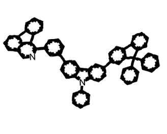 c1ccc(-n2c3ccc(-c4cccc(-c5ncc6cccc7c6c5-c5ccccc5-7)c4)cc3c3cc(-c4ccc5c(c4)C(c4ccccc4)(c4ccccc4)c4ccccc4-5)ccc32)cc1